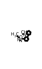 CCc1nnc(-c2cccc3c4ccccc4n(CC)c23)o1